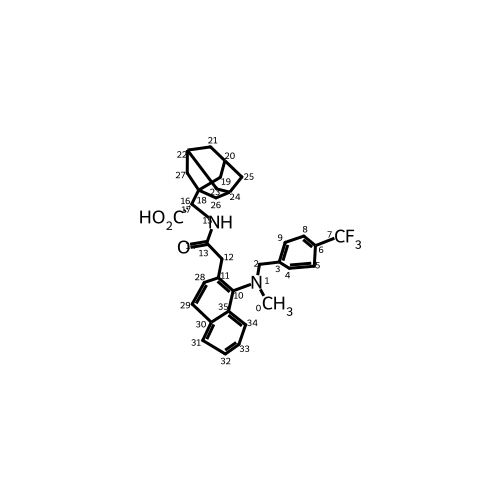 CN(Cc1ccc(C(F)(F)F)cc1)c1c(CC(=O)N[C@H](C(=O)O)C23CC4CC(CC(C4)C2)C3)ccc2ccccc12